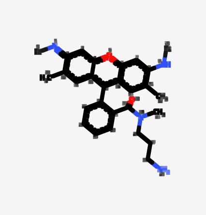 CC/N=c1/cc2oc3cc(NCC)c(C)cc3c(-c3ccccc3C(=O)N(C)CCCN)c-2cc1C